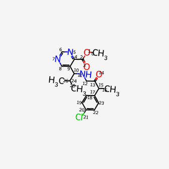 COC(=O)c1ncncc1C(NCC(=O)C(C)c1ccc(Cl)cc1)C(C)C